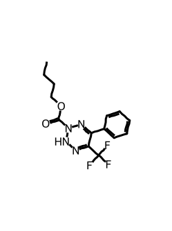 CCCCOC(=O)N1N=C(c2ccccc2)C(C(F)(F)F)=NN1